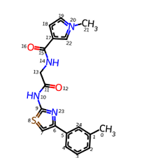 Cc1cccc(-c2csc(NC(=O)CNC(=O)c3ccn(C)c3)n2)c1